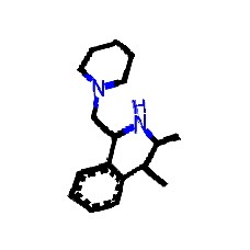 CC1NC(CN2CCCCC2)c2ccccc2C1C